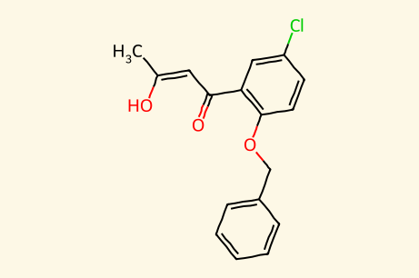 CC(O)=CC(=O)c1cc(Cl)ccc1OCc1ccccc1